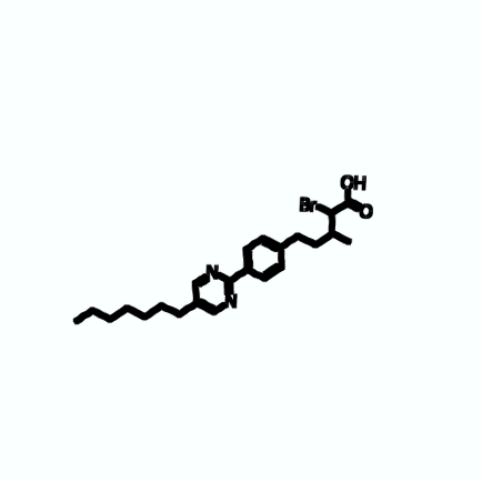 CCCCCCCc1cnc(-c2ccc(CCC(C)C(Br)C(=O)O)cc2)nc1